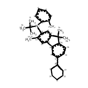 Cc1ccccc1N(c1cc2c(cc1C)-c1cc(C3CCCCC3)ccc1C2(C)C)C(C)(C)C